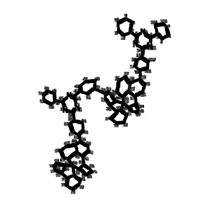 c1ccc(-c2nc(-c3ccccc3)nc(-c3ccc(-c4ccc5c6c(cccc46)C4(c6ccccc6-c6cc(-c7cccc(-c8nc(-c9ccccc9)nc(-c9ccc(-c%10ccc%11c%12c(cccc%10%12)C%10(c%12ccccc%12-c%12ccccc%12%10)c%10ccccc%10-%11)cc9)n8)c7)ccc64)c4ccccc4-5)cc3)n2)cc1